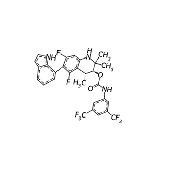 C[C@@H]1c2c(cc(F)c(-c3cccc4cc[nH]c34)c2F)NC(C)(C)[C@H]1OC(=O)Nc1cc(C(F)(F)F)cc(C(F)(F)F)c1